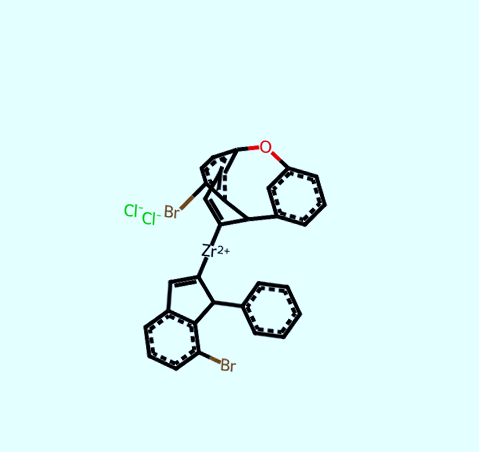 Brc1cccc2c1C(c1ccccc1)[C]([Zr+2][C]1=Cc3c4ccc(Br)c3C1c1cccc(c1)O4)=C2.[Cl-].[Cl-]